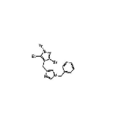 CCc1nn(C(C)C)c(CC)c1Cc1cn(Cc2ccccc2)cn1